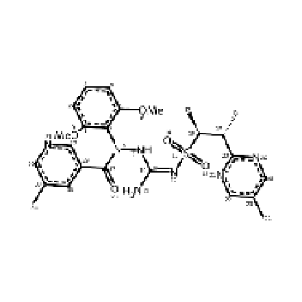 COc1cccc(OC)c1N(N/C(N)=N\S(=O)(=O)[C@@H](C)[C@H](C)c1ncc(C)cn1)C(=O)c1cncc(C)c1